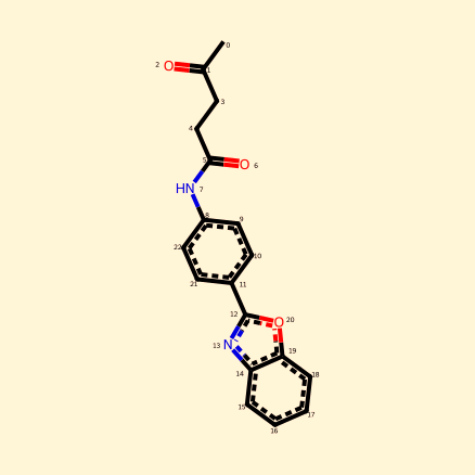 CC(=O)CCC(=O)Nc1ccc(-c2nc3ccccc3o2)cc1